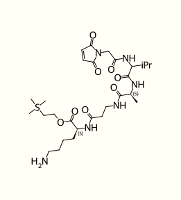 CC(C)C(NC(=O)CN1C(=O)C=CC1=O)C(=O)N[C@@H](C)C(=O)NCCC(=O)N[C@@H](CCCCN)C(=O)OCCS(C)(C)C